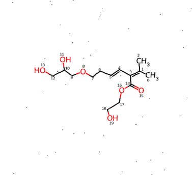 CC(C)=C(C=CCCOCC(O)CO)C(=O)OCCO